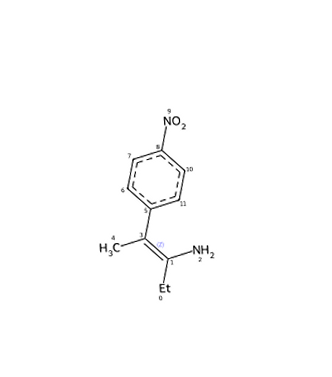 CC/C(N)=C(\C)c1ccc([N+](=O)[O-])cc1